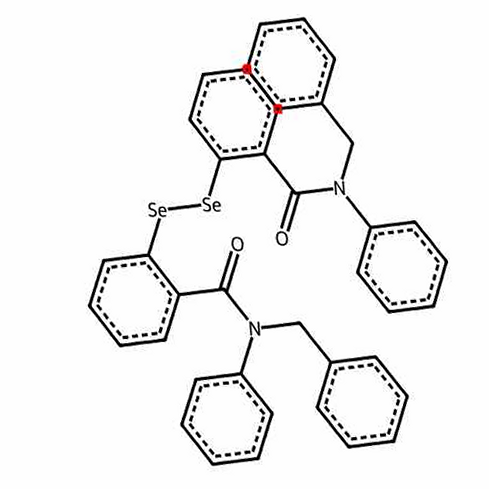 O=C(c1ccccc1[Se][Se]c1ccccc1C(=O)N(Cc1ccccc1)c1ccccc1)N(Cc1ccccc1)c1ccccc1